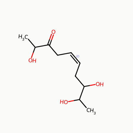 CC(O)C(=O)C/C=C\CC(O)C(C)O